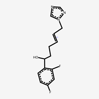 OC(CC/C=C/Cn1cncn1)c1ccc(F)cc1F